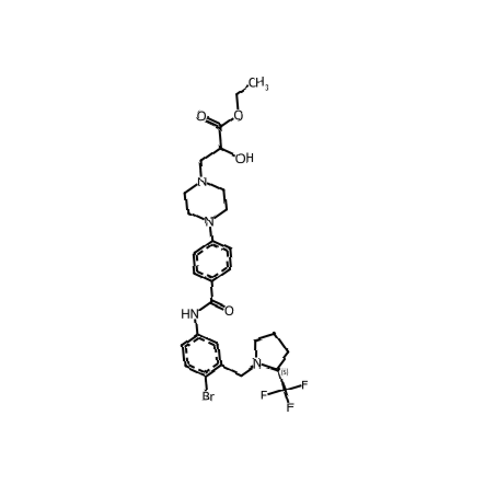 CCOC(=O)C(O)CN1CCN(c2ccc(C(=O)Nc3ccc(Br)c(CN4CCC[C@H]4C(F)(F)F)c3)cc2)CC1